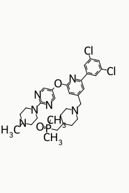 CN1CCN(c2ncc(Oc3cc(CN4CCC(CP(C)(C)=O)CC4)cc(-c4cc(Cl)cc(Cl)c4)n3)cn2)CC1